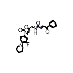 O=C(/C=C/C(=O)c1ccccc1)NC[C@H]1CN(c2ccc(N3CCCCC3)c(F)c2)C(=O)O1